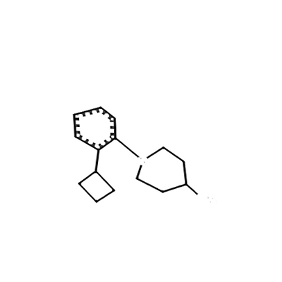 COC1CCN(c2cc[c]cc2C2CCC2)CC1